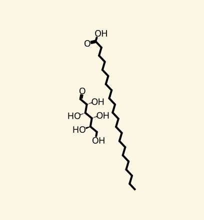 CCCCCCCCCCCCCCCCCCCCCC(=O)O.O=C[C@H](O)[C@@H](O)[C@H](O)[C@H](O)CO